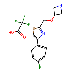 Fc1ccc(-c2csc(COC3CNC3)n2)cc1.O=C(O)C(F)(F)F